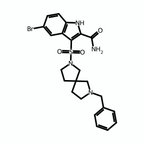 NC(=O)c1[nH]c2ccc(Br)cc2c1S(=O)(=O)N1CCC2(CCN(Cc3ccccc3)C2)C1